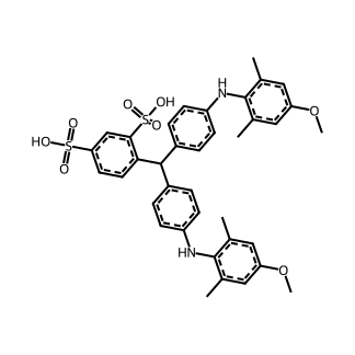 COc1cc(C)c(Nc2ccc(C(c3ccc(Nc4c(C)cc(OC)cc4C)cc3)c3ccc(S(=O)(=O)O)cc3S(=O)(=O)O)cc2)c(C)c1